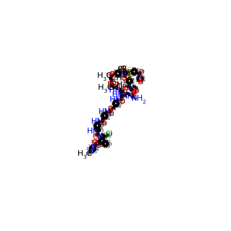 CC(C)[C@H](NC(=O)CC(C)(C)OCCC(C)(C)Oc1ccc(N2C(=O)C(Sc3ccc(C(=O)N4CCOCC4)cc3)=C(Sc3ccc(C(=O)N4CCOCC4)cc3)C2=O)c(C(F)(F)F)c1)C(=O)N[C@@H](CCCNC(N)=O)C(=O)Nc1ccc(COC(=O)Nc2ccc(C(=O)Nc3ccc4[nH]c(C(=O)N5C[C@@H](CCl)c6c5cc(OC(=O)N5CCN(C)CC5)c5ccccc65)cc4c3)cc2)cc1